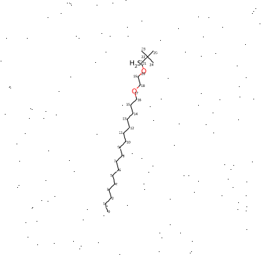 CCCCCCCCCCCCCCCCCOCCO[SiH2]C(C)(C)C